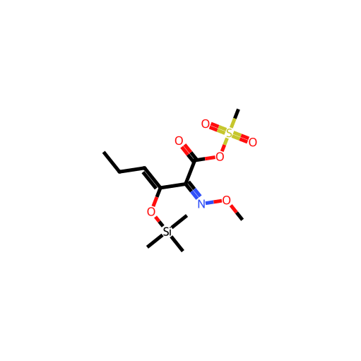 CCC=C(O[Si](C)(C)C)C(=NOC)C(=O)OS(C)(=O)=O